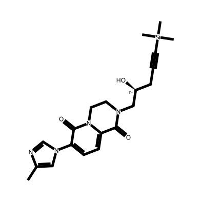 Cc1cn(-c2ccc3n(c2=O)CCN(C[C@@H](O)CC#C[Si](C)(C)C)C3=O)cn1